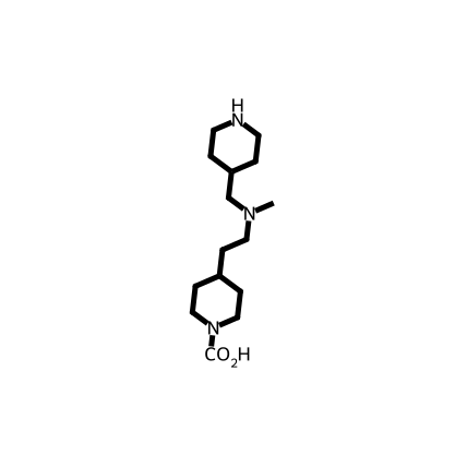 CN(CCC1CCN(C(=O)O)CC1)CC1CCNCC1